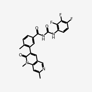 Cc1cc2c(cn1)cc(-c1cc(C(=O)NC(=O)Nc3ccc(F)c(F)c3F)ccc1C)c(=O)n2C